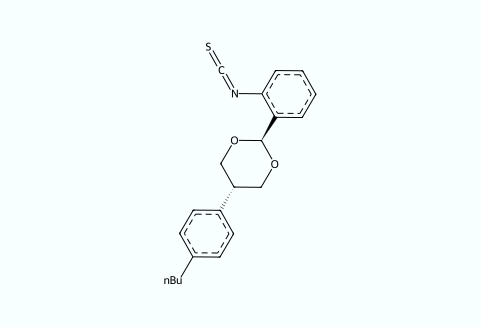 CCCCc1ccc([C@H]2CO[C@H](c3ccccc3N=C=S)OC2)cc1